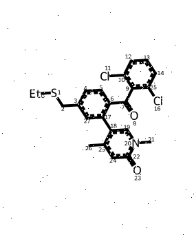 CCSCc1ccc(C(=O)c2c(Cl)cccc2Cl)c(-c2cn(C)c(=O)cc2C)c1